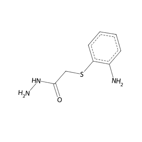 NNC(=O)CSc1ccccc1N